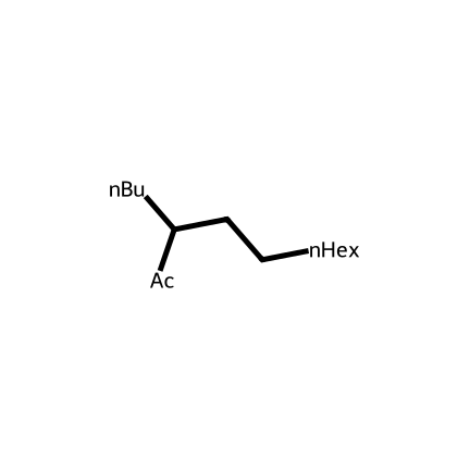 CCCCCCCCC(CCCC)C(C)=O